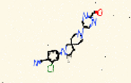 C[C@H]1CC2(CCN(c3cnc(C=O)nc3)CC2)CN1c1ccc(C#N)c(Cl)c1